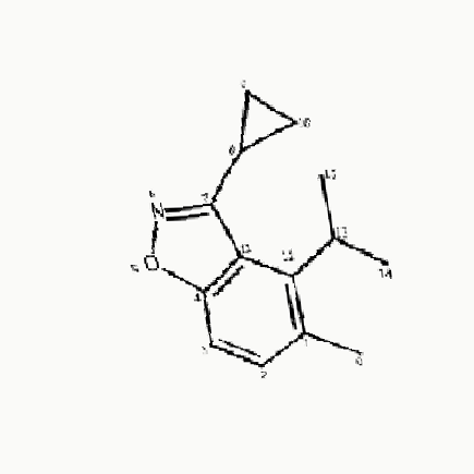 Cc1ccc2onc(C3CC3)c2c1C(C)C